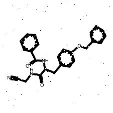 N#CCNC(=O)C(Cc1ccc(OCc2ccccc2)cc1)NC(=O)c1ccccc1